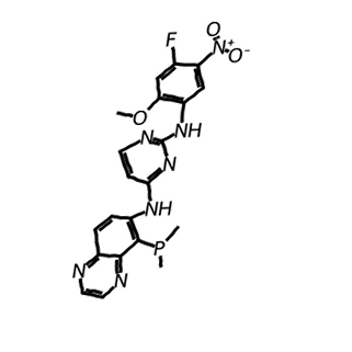 COc1cc(F)c([N+](=O)[O-])cc1Nc1nccc(Nc2ccc3nccnc3c2P(C)C)n1